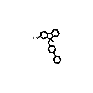 CC1(Cc2ccc(-c3ccccc3)cc2)c2ccccc2-c2ccc(N)cc21